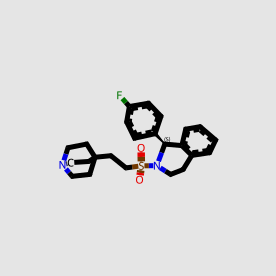 O=S(=O)(CCC12CCN(CC1)CC2)N1CCc2ccccc2[C@@H]1c1ccc(F)cc1